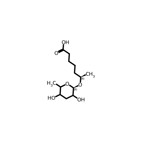 CC1O[C@@H](O[C@H](C)CCCCC(=O)O)C(O)CC1O